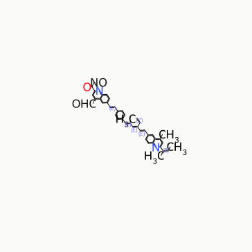 C\C=C/C(/C=C/c1ccc2nc(/C(C)=C\C)cc(C)c2c1)=C\C=C\c1ccc(/C=C/c2ccc3nc(C(=O)N=O)cc(C=O)c3c2)cc1